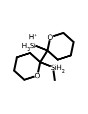 C[SiH2]C1(C2([SiH3])CCCCO2)CCCCO1.[H+]